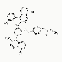 COC(=O)Cc1ccc(COc2cccc(-c3c(C)nnc4c(Cl)cccc34)c2)cc1.Cc1nnc2c(Cl)cccc2c1-c1cccc(O)c1